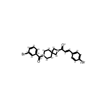 O=C(C=Cc1ccc(Br)cc1)N1CC2(CCN(C(=O)c3cccc(Br)c3)CC2)C1